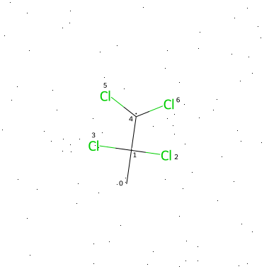 CC(Cl)(Cl)[C](Cl)Cl